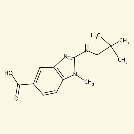 Cn1c(NCC(C)(C)C)nc2cc(C(=O)O)ccc21